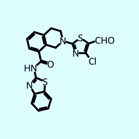 O=Cc1sc(N2CCc3cccc(C(=O)Nc4nc5ccccc5s4)c3C2)nc1Cl